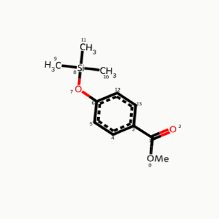 COC(=O)c1ccc(O[Si](C)(C)C)cc1